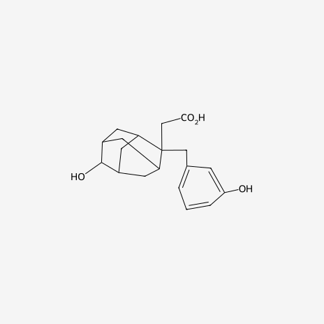 O=C(O)CC1(Cc2cccc(O)c2)C2CC3CC1CC(C2)C3O